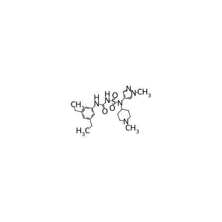 CCc1cc(CC)cc(NC(=O)NS(=O)(=O)N(c2cnn(C)c2)C2CCN(C)CC2)c1